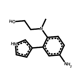 CN(CCO)c1ccc(N)cc1-c1cc[nH]c1